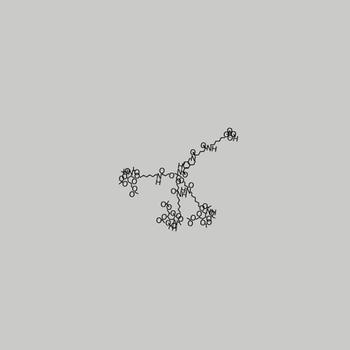 COP(=O)(O)OCCCCCCNC(=O)CCCC(=O)N1CCc2cc(C(=O)NC(COCCC(=O)NCCCCCCOC3OC(COC(C)=O)C(OC(C)=O)C(OC(C)=O)C3NC(C)=O)(COCCC(=O)NCCCCCCOC3OC(COC(C)=O)C(OC(C)=O)C(OC(C)=O)C3NC(C)=O)COCCC(=O)NCCCCCCOC3OC(COC(C)=O)C(OC(C)=O)C(OC(C)=O)C3NC(C)=O)ccc2C1